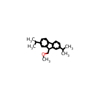 COCC1c2cc(C(C)C)ccc2-c2ccc(C(C)C)cc21